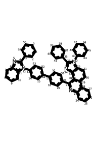 c1ccc(-c2nc3ccccc3n2-c2ccc(-c3ccc(-c4nc5ccccc5c5ccc6c(nc(-c7ccccc7)n6-c6ccccc6)c45)cc3)cc2)cc1